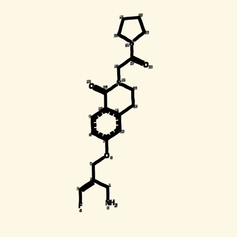 NC/C(=C\F)COc1ccc2c(c1)CCN(CC(=O)N1CCCC1)C2=O